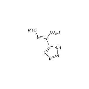 CCOC(=O)C(=NOC)c1nnn[nH]1